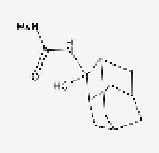 CNC(=O)NC1(O)C2CC3CC(C2)CC1C3